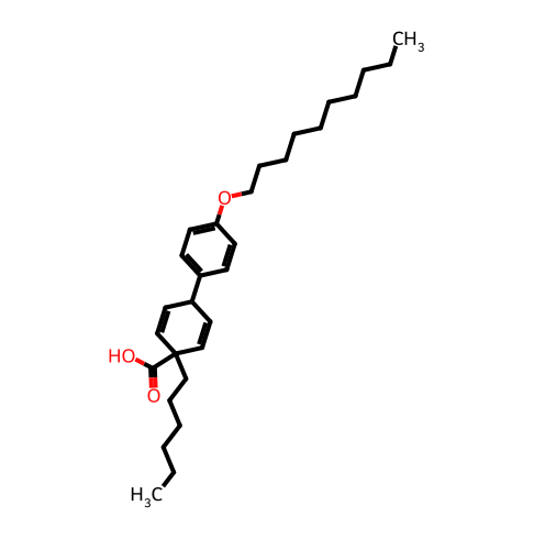 CCCCCCCCCCOc1ccc(C2C=CC(CCCCCC)(C(=O)O)C=C2)cc1